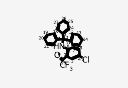 O=C(c1cc(Cl)ccc1NC(c1ccccc1)(c1ccccc1)c1ccccc1)C(F)(F)F